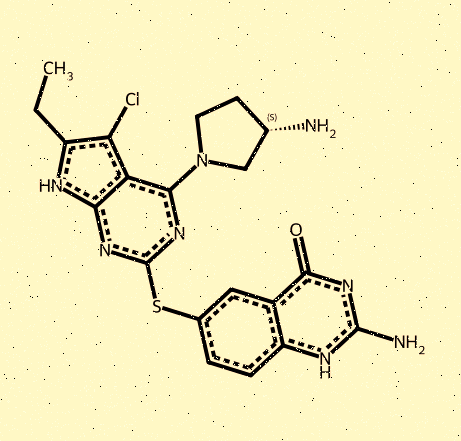 CCc1[nH]c2nc(Sc3ccc4[nH]c(N)nc(=O)c4c3)nc(N3CC[C@H](N)C3)c2c1Cl